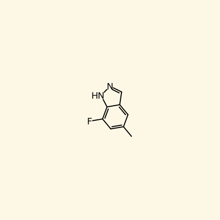 Cc1cc(F)c2[nH]ncc2c1